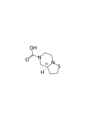 O=C(O)N1CCN2SCC[C@H]2C1